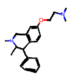 CC1C(c2ccccc2)c2ccc(OCCN(C)C)cc2CN1C